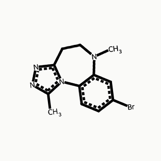 Cc1nnc2n1-c1ccc(Br)cc1N(C)CC2